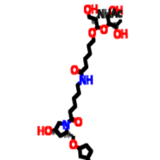 C=CC1CCC(OC[C@@H]2C[C@@H](O)CN2C(=O)CCCCCNC(=O)CCCCCOC(OC(CO)[C@@H](C)O)[C@H](CO)NC(C)=O)C1